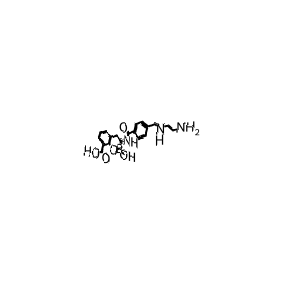 NCCNCc1ccc(C(=O)N[C@H]2Cc3cccc(C(=O)O)c3OB2O)cc1